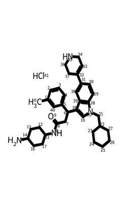 Cc1cccc(C(CC(=O)NC2CCC(N)CC2)c2cn(CC3CCCCC3)c3ccc(C4=CCNCC4)cc23)c1.Cl